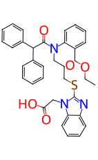 CCOC(=O)c1ccccc1N(CCCSc1nc2ccccc2n1CC(=O)O)C(=O)C(c1ccccc1)c1ccccc1